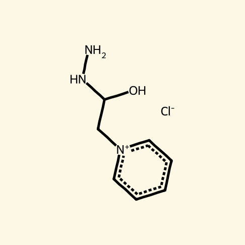 NNC(O)C[n+]1ccccc1.[Cl-]